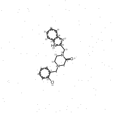 O=C1CN(Cc2ccccc2Cl)CCN1Cc1nc2ccccc2[nH]1